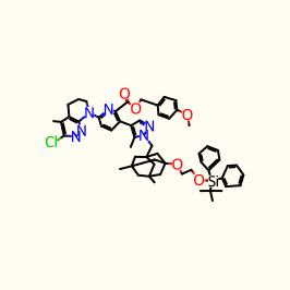 COc1ccc(COC(=O)c2nc(N3CCCc4c3nnc(Cl)c4C)ccc2-c2cnn(CC34CC5(C)CC(C)(C3)CC(OCCO[Si](c3ccccc3)(c3ccccc3)C(C)(C)C)(C5)C4)c2C)cc1